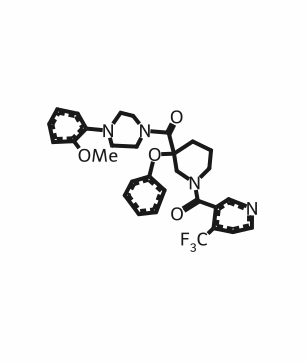 COc1ccccc1N1CCN(C(=O)C2(Oc3ccccc3)CCCN(C(=O)c3cnccc3C(F)(F)F)C2)CC1